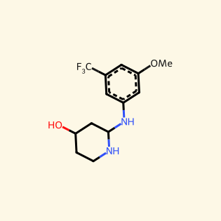 COc1cc(NC2CC(O)CCN2)cc(C(F)(F)F)c1